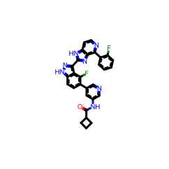 O=C(Nc1cncc(-c2ccc3[nH]nc(-c4nc5c(-c6ccccc6F)nccc5[nH]4)c3c2F)c1)C1CCC1